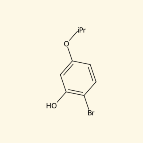 CC(C)Oc1ccc(Br)c(O)c1